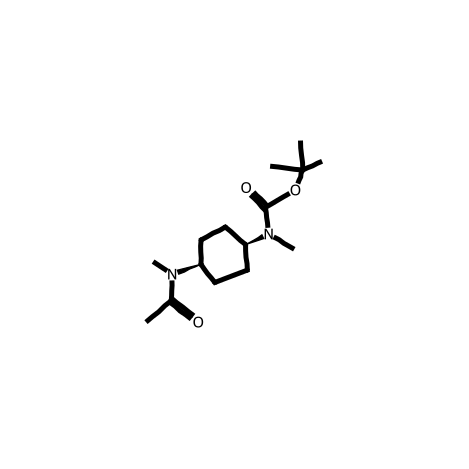 CC(=O)N(C)[C@H]1CC[C@@H](N(C)C(=O)OC(C)(C)C)CC1